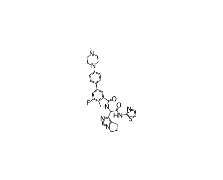 CN1CCN(c2ccc(-c3cc(F)c4c(c3)C(=O)N(C(C(=O)Nc3nccs3)c3ncn5c3CCC5)C4)cc2)CC1